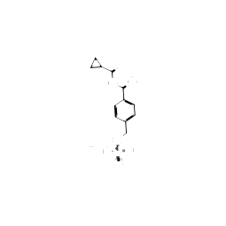 O=C(OC(=O)C1CC1)c1ccc(COS(=O)(=O)C(F)(F)F)cc1